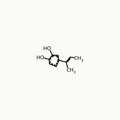 CC=C(C)c1ccc(O)c(O)c1